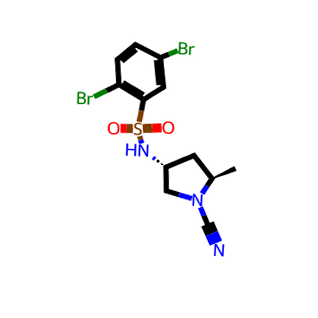 C[C@@H]1C[C@@H](NS(=O)(=O)c2cc(Br)ccc2Br)CN1C#N